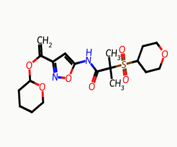 C=C(OC1CCCCO1)c1cc(NC(=O)C(C)(C)S(=O)(=O)C2CCOCC2)on1